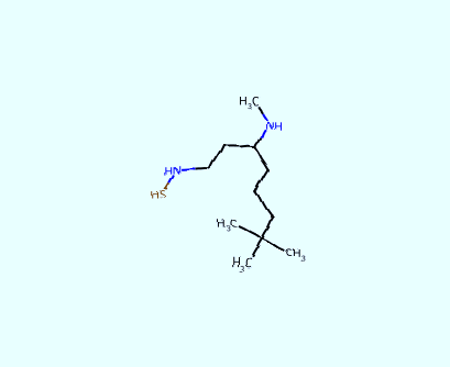 CNC(CCCC(C)(C)C)CCNS